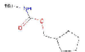 CC(C)(C)NC(=O)OCC1CCCC1